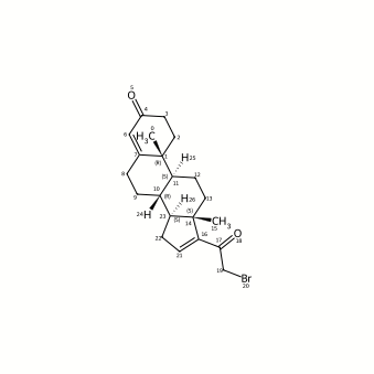 C[C@]12CCC(=O)C=C1CC[C@@H]1[C@@H]2CC[C@]2(C)C(C(=O)CBr)=CC[C@@H]12